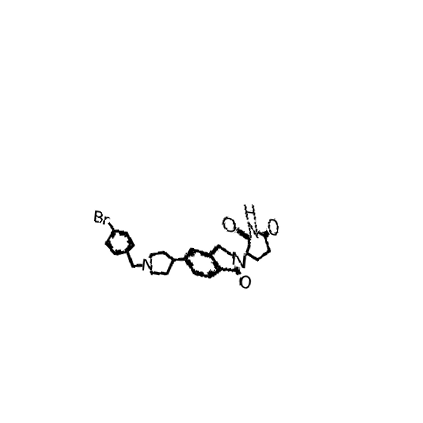 O=C1CCC(N2Cc3cc(C4CCN(Cc5ccc(Br)cc5)CC4)ccc3C2=O)C(=O)N1